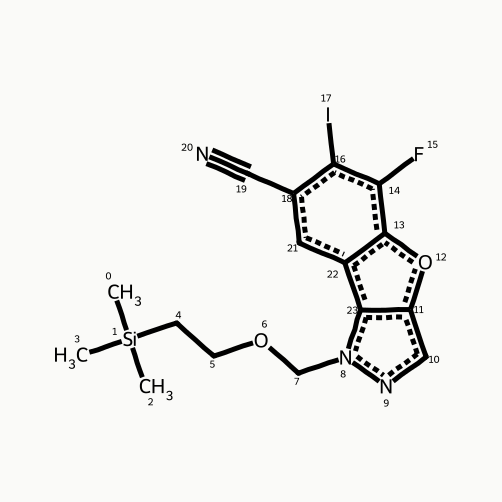 C[Si](C)(C)CCOCn1ncc2oc3c(F)c(I)c(C#N)cc3c21